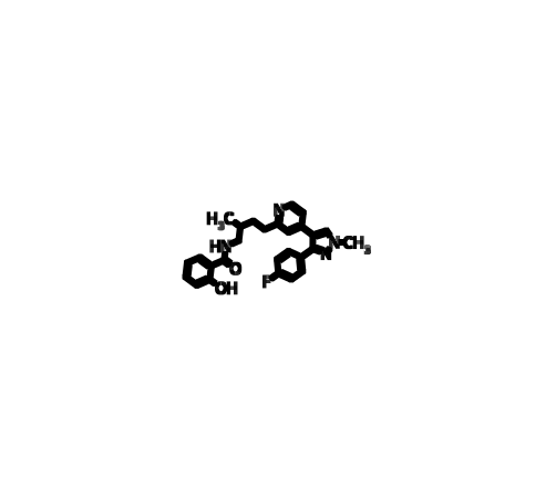 CC(CCc1cc(-c2cn(C)nc2-c2ccc(F)cc2)ccn1)CNC(=O)c1ccccc1O